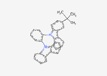 CC(C)(C)c1ccc2c(c1)c1ccccc1n2-c1ccccc1-n1c2ccccc2c2ccccc21